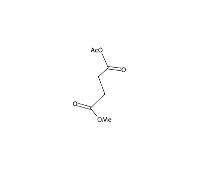 COC(=O)CCC(=O)OC(C)=O